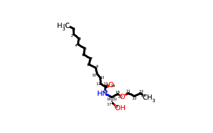 CCCCCCCCCCCCCC(=O)N[C@@H](CO)COCCCC